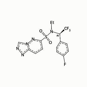 CCN([C@H](c1ccc(F)cc1)C(F)(F)F)S(=O)(=O)c1ccc2nncn2n1